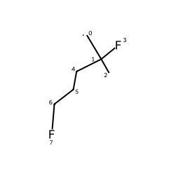 [CH2]C(C)(F)CCCF